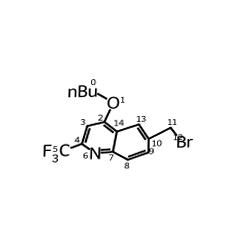 CCCCOc1cc(C(F)(F)F)nc2ccc(CBr)cc12